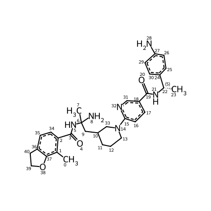 Cc1c(C(=O)NC(C)(N)CC2CCCN(c3ccc(C(=O)N[C@@H](C)c4ccc(N)cc4)cn3)C2)ccc2c1OCC2